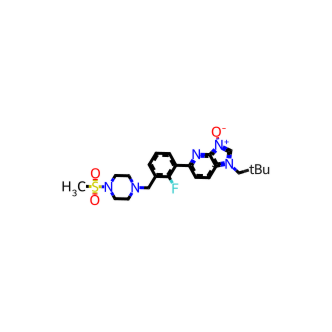 CC(C)(C)Cn1c[n+]([O-])c2nc(-c3cccc(CN4CCN(S(C)(=O)=O)CC4)c3F)ccc21